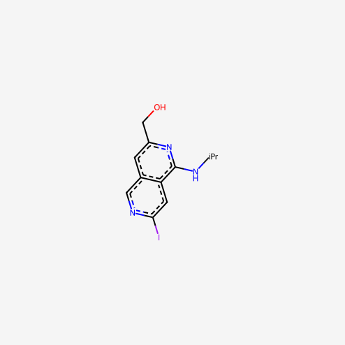 CC(C)Nc1nc(CO)cc2cnc(I)cc12